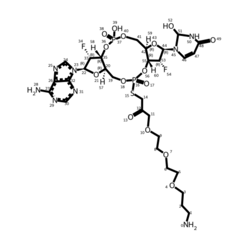 NCCCOCCOCCOCC(=O)CSP1(=O)OC[C@H]2O[C@@H](n3cnc4c(N)ncnc43)[C@H](F)[C@@H]2OP(=O)(O)OC[C@H]2O[C@@H](N3C=CC(=O)NC3O)[C@H](F)[C@@H]2O1